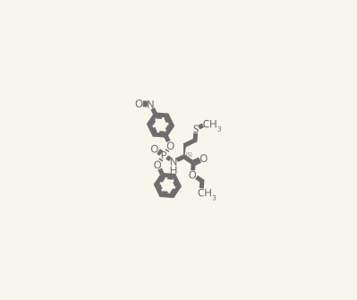 CCOC(=O)[C@H](CCSC)NP(=O)(Oc1ccccc1)Oc1ccc(N=O)cc1